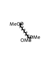 COC(=O)CCCCCCCCCC(OC)OC